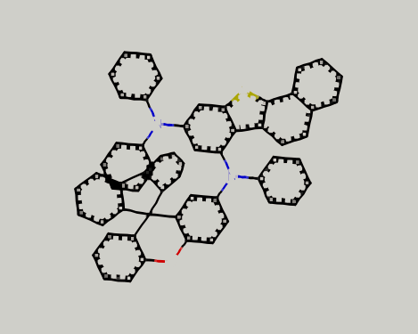 c1ccc(N(c2ccccc2)c2cc(N(c3ccccc3)c3ccc4c(c3)C3(c5ccccc5O4)c4ccccc4-c4ccccc43)c3c(c2)sc2c4ccccc4ccc23)cc1